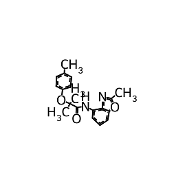 Cc1ccc(OC(C)(C)C(=O)Nc2cccc3oc(C)nc23)cc1